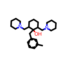 Cc1cccc(CC2(O)C(CN3CCCCC3)CCCC2CN2CCCCC2)c1